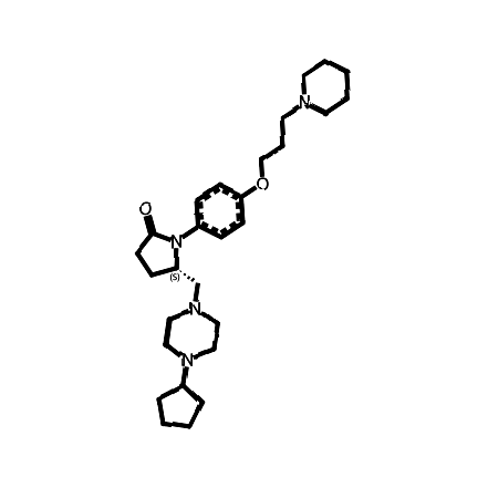 O=C1CC[C@@H](CN2CCN(C3CCCC3)CC2)N1c1ccc(OCCCN2CCCCC2)cc1